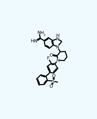 CS(=O)(=O)c1ccccc1-c1ccc(N2CCCC(N3CNc4cc(C(=N)N)ccc43)C2=O)c(F)c1